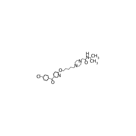 CC(C)NC(=O)CN1CCN(CCCCCOc2ccc(C(=O)c3ccc(Cl)cc3)cn2)CC1